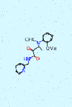 COc1ccccc1N(C=O)C(C)C(=O)C(=O)NCc1ccccn1